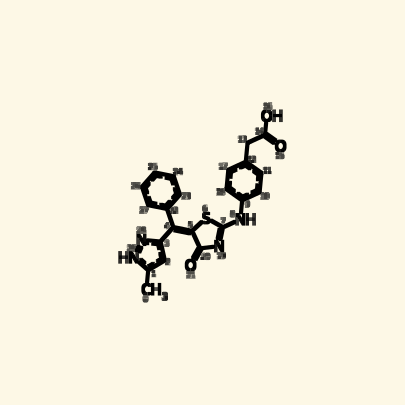 Cc1cc(C(=C2SC(Nc3ccc(CC(=O)O)cc3)=NC2=O)c2ccccc2)n[nH]1